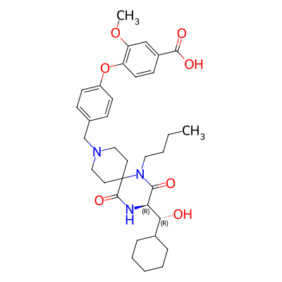 CCCCN1C(=O)[C@@H]([C@H](O)C2CCCCC2)NC(=O)C12CCN(Cc1ccc(Oc3ccc(C(=O)O)cc3OC)cc1)CC2